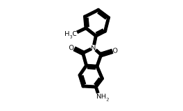 Cc1ccccc1N1C(=O)c2ccc(N)cc2C1=O